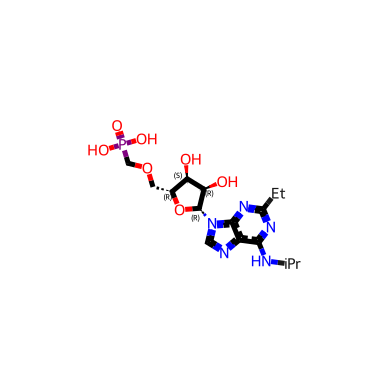 CCc1nc(NC(C)C)c2ncn([C@@H]3O[C@H](COCP(=O)(O)O)[C@@H](O)[C@H]3O)c2n1